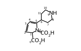 O=C(O)C1C=CC=C(C2CCNCC2)N1C(=O)O